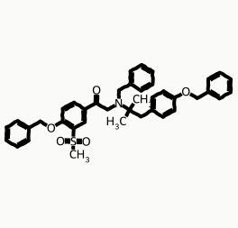 CC(C)(Cc1ccc(OCc2ccccc2)cc1)N(CC(=O)c1ccc(OCc2ccccc2)c(S(C)(=O)=O)c1)Cc1ccccc1